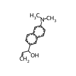 C=CC(O)c1ccc2cc(N(C)C)ccc2c1